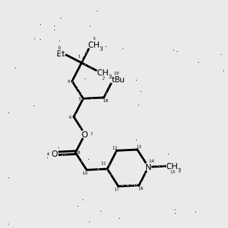 CCC(C)(C)CC(COC(=O)CC1CCN(C)CC1)CC(C)(C)C